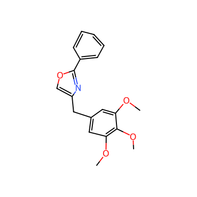 COc1cc(Cc2coc(-c3ccccc3)n2)cc(OC)c1OC